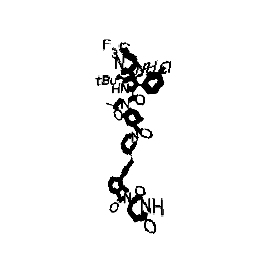 C[C@@H]1CN(C(=O)[C@@H]2N[C@@H](CC(C)(C)C)[C@@]3(CNc4cc(C(F)(F)F)ncc43)[C@H]2c2cccc(Cl)c2F)c2ccc(C(=O)N3CCC[C@@H](CC#Cc4cccc5c4CN([C@H]4CCC(=O)NC4=O)C5=O)C3)cc2O1